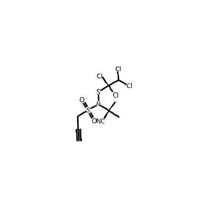 C#CCS(=O)(=O)N(SC(Cl)(Cl)C(Cl)Cl)C(C)(C)C#N